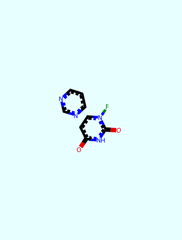 O=c1ccn(F)c(=O)[nH]1.c1cncnc1